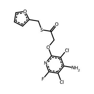 Nc1c(Cl)c(F)nc(OCC(=O)SCc2ccco2)c1Cl